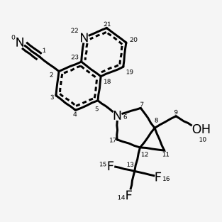 N#Cc1ccc(N2CC3(CO)CC3(C(F)(F)F)C2)c2cccnc12